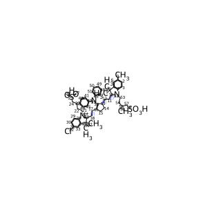 Cc1ccc2c(c1)C(C)(C)/C(=C\C=C1/CCC(/C=C/C3=[N+](CCCC[SH](=O)=O)c4ccc(Cl)cc4C3(C)C)=C1N(c1c#cccc1)c1ccccc1)N2CCC(C)CS(=O)(=O)O